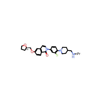 CCCNCC1CCN(c2ccc(-n3ccc4cc(OC[C@H]5CCCO5)ccc4c3=O)cc2F)CC1